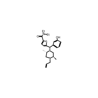 C=CCN1C[C@H](C)N([C@H](c2cccc(O)c2)c2ccc(C(=O)N(CC)CC)s2)C[C@H]1C